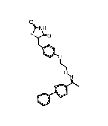 CC(=NOCCOc1ccc(CC2SC(=O)NC2=O)cc1)c1ccc(-c2ccccc2)cc1